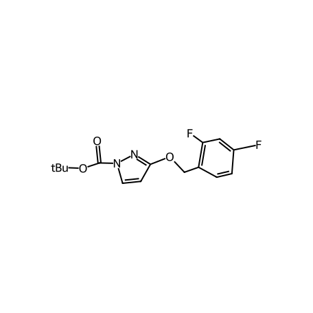 CC(C)(C)OC(=O)n1ccc(OCc2ccc(F)cc2F)n1